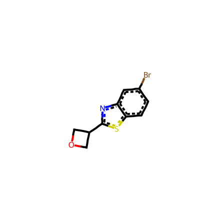 Brc1ccc2sc(C3COC3)nc2c1